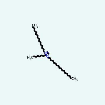 CCCCCCCCCCCCCCCCCCn1cc[n+](CCCCCCCCCCCCCCCC)c1CCCCCCC